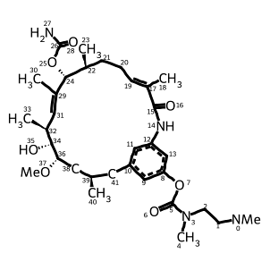 CNCCN(C)C(=O)Oc1cc2cc(c1)NC(=O)/C(C)=C/CC[C@H](C)[C@@H](OC(N)=O)/C(C)=C/[C@H](C)[C@@H](O)[C@@H](OC)C[C@H](C)C2